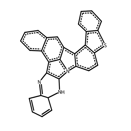 C1=CC2=Nc3c(n4c5ccc6sc7ccccc7c6c5c5cc6ccccc6c3c54)NC2C=C1